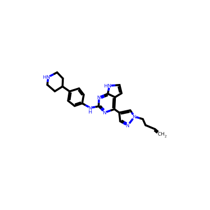 C=CCCn1cc(-c2nc(Nc3ccc(C4CCNCC4)cc3)nc3[nH]ccc23)cn1